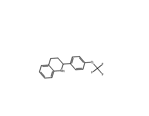 FC(F)(F)Oc1ccc(C2CCc3ccccc3N2)cc1